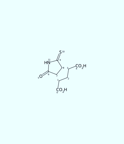 O=C(O)CCCC(=O)O.O=C1CCC(=S)N1